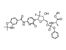 CC(C)OC(=O)[C@@H](C)NP(=O)(OC[C@H]1OC(n2ccc(NC(=O)c3ccc4c(c3)NC(C)(C)O4)nc2=O)C(F)(F)[C@@H]1O)Oc1ccccc1